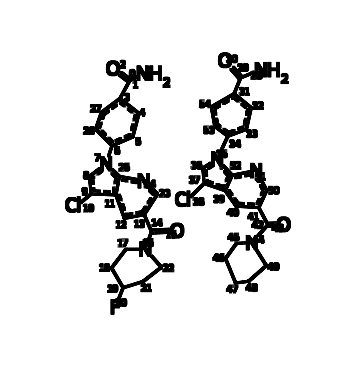 NC(=O)c1ccc(-n2cc(Cl)c3cc(C(=O)N4CCC(F)CC4)cnc32)cc1.NC(=O)c1ccc(-n2cc(Cl)c3cc(C(=O)N4CCCCC4)cnc32)cc1